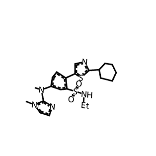 CCNS(=O)(=O)c1cc(N(C)c2nccn2C)ccc1-c1cnc(C2CCCCC2)s1